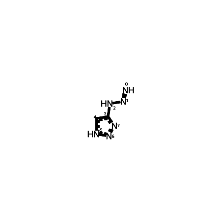 N=NNc1c[nH]nn1